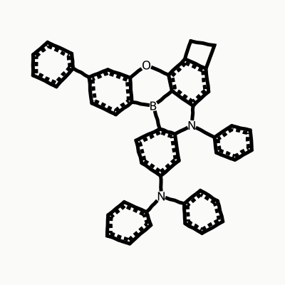 c1ccc(-c2ccc3c(c2)Oc2c4c(cc5c2B3c2ccc(N(c3ccccc3)c3ccccc3)cc2N5c2ccccc2)CC4)cc1